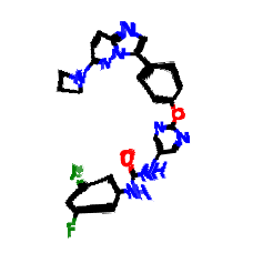 O=C(Nc1cnc(Oc2ccc(-c3cnc4ccc(N5CCC5)nn34)cc2)nc1)Nc1cc(F)cc(F)c1